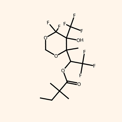 CCC(C)(C)C(=O)OC(C(F)(F)F)C1(C)OCOC(F)(F)C1(O)C(F)(F)F